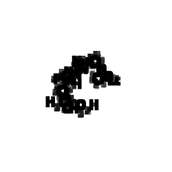 CCOc1ccccc1OC1CCCN(c2cncc(Nc3ncc(F)c(-c4cccc(CC(C)(C)C(=O)O)c4)n3)n2)C1